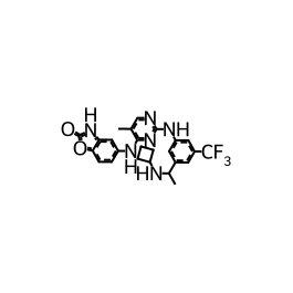 Cc1cnc(Nc2cc(C(C)NC3CCC3)cc(C(F)(F)F)c2)nc1Nc1ccc2oc(=O)[nH]c2c1